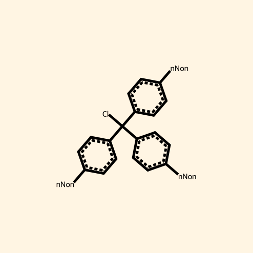 CCCCCCCCCc1ccc(C(Cl)(c2ccc(CCCCCCCCC)cc2)c2ccc(CCCCCCCCC)cc2)cc1